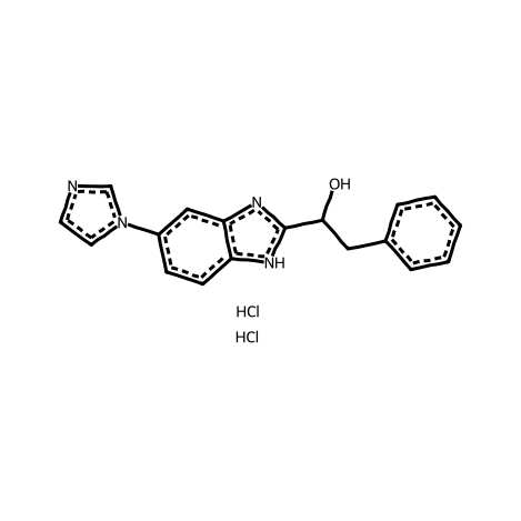 Cl.Cl.OC(Cc1ccccc1)c1nc2cc(-n3ccnc3)ccc2[nH]1